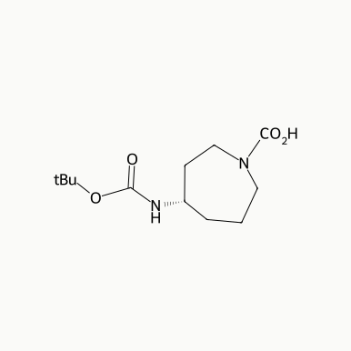 CC(C)(C)OC(=O)N[C@H]1CCCN(C(=O)O)CC1